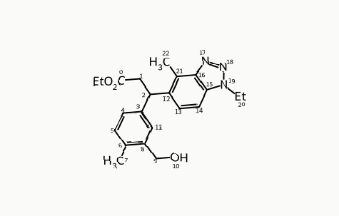 CCOC(=O)CC(c1ccc(C)c(CO)c1)c1ccc2c(nnn2CC)c1C